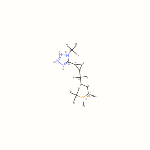 C[C@H](CCC(C)(C)C1CC1c1nnnn1C(C)(C)C)P(C)C(C)(C)C